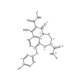 CNC(=O)c1c(O)c2ncc(Cc3ccc(F)cc3)c3c2n(c1=O)CCC(C(=O)NC)O3